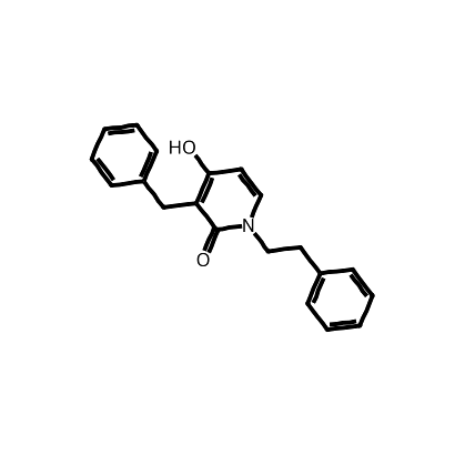 O=c1c(Cc2ccccc2)c(O)ccn1CCc1ccccc1